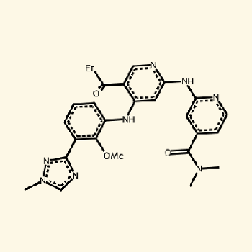 CCC(=O)c1cnc(Nc2cc(C(=O)N(C)C)ccn2)cc1Nc1cccc(-c2ncn(C)n2)c1OC